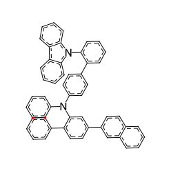 c1ccc(-c2ccc(-c3ccc4ccccc4c3)cc2N(c2ccccc2)c2ccc(-c3ccccc3-n3c4ccccc4c4ccccc43)cc2)cc1